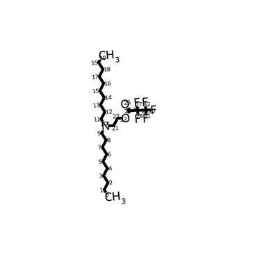 CCCCCCCCCCN(CCCCCCCCCC)CCOC(=O)C(F)(F)C(F)(F)F